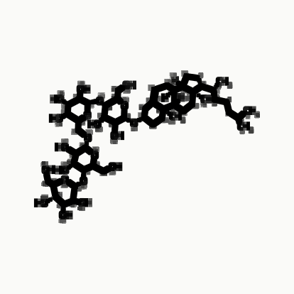 CC(C)CCC[C@@H](C)[C@H]1CC[C@H]2[C@@H]3CC=C4C[C@@H](O[C@H]5OC(CO)[C@@H](O[C@H]6OC(CO[C@@H]7OC(CO)[C@@H](O[C@H]8OC(CO)[C@@H](O)[C@H](O)C8O)[C@H](O)C7O)[C@@H](O)[C@H](O)C6O)[C@H](O)C5O)CC[C@]4(C)[C@H]3CC[C@]12C